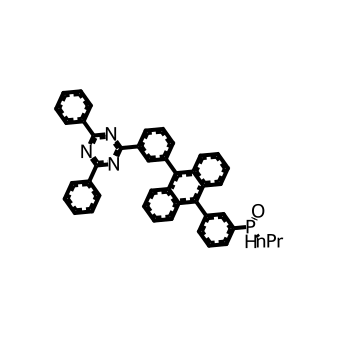 CCC[PH](=O)c1cccc(-c2c3ccccc3c(-c3cccc(-c4nc(-c5ccccc5)nc(-c5ccccc5)n4)c3)c3ccccc23)c1